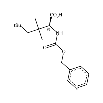 CC(C)(C)CC(C)(C)[C@H](NC(=O)OCc1cccnc1)C(=O)O